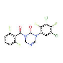 O=C(c1c(F)cccc1F)N1CN=CN(c2cc(Cl)c(F)c(Cl)c2F)C1=O